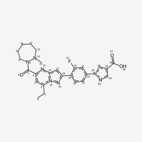 CCc1cc(C(=O)N2CCCCCN2C)nc2cc(-c3ccc(-n4cc(C(=O)O)cn4)cc3F)nn12